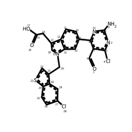 Nc1nc(Cl)c(C=O)c(-c2ccc3c(CC(=O)O)cn(Cc4csc5ccc(Cl)cc45)c3c2)n1